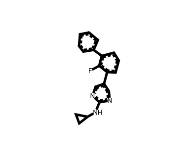 Fc1c(-c2ccccc2)cccc1-c1cnc(NC2CC2)nc1